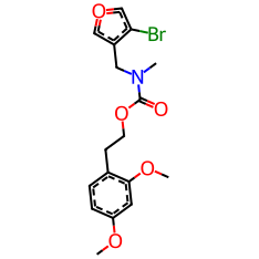 COc1ccc(CCOC(=O)N(C)Cc2cocc2Br)c(OC)c1